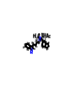 CC(=O)NC(c1ccc2c(c1)CCC2)N(C)CCCCc1c[nH]c2ccccc12